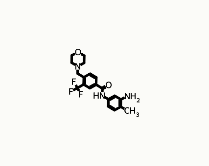 Cc1ccc(NC(=O)c2ccc(CN3CCOCC3)c(C(F)(F)F)c2)cc1N